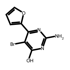 Nc1nc(O)c(Br)c(-c2ccco2)n1